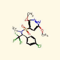 COc1cc(S(=O)(=O)N(C)C(c2ccc(Cl)cc2)C(F)(F)F)c(OC)nn1